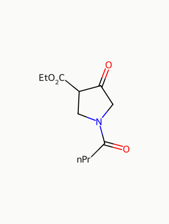 CCCC(=O)N1CC(=O)C(C(=O)OCC)C1